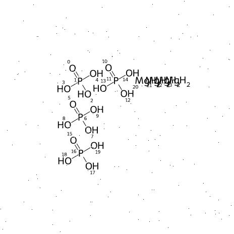 O=P(O)(O)O.O=P(O)(O)O.O=P(O)(O)O.O=P(O)(O)O.[MgH2].[MgH2].[MgH2].[MgH2]